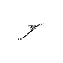 CCCCCCCCCCCCCC(=O)O[C@@H](CNCCCCCCCCCCCCCCOC=O)COP(=O)(O)O